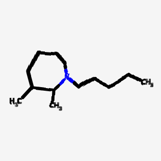 CCCCCN1CCCCC(C)C1C